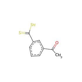 CC(=O)c1cccc(C(=S)S)c1